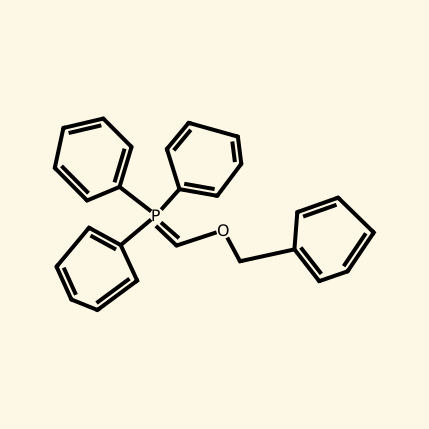 C(OCc1ccccc1)=P(c1ccccc1)(c1ccccc1)c1ccccc1